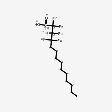 CCCCCCCCCCC(F)(F)C(F)(F)C(F)(F)S(=O)(=O)O